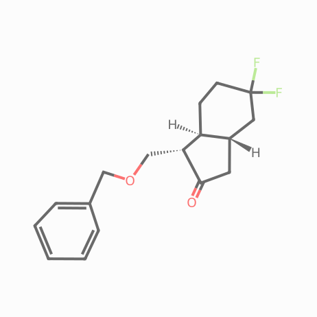 O=C1C[C@H]2CC(F)(F)CC[C@@H]2[C@H]1COCc1ccccc1